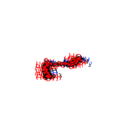 CC1OC(OC2C(CO)OC(OC3C(CO)OC(OCc4cn(CCOCCOCCOCCn5cc(COC6OC(CO)C(OC7OC(CO)C(OC8OC(C)[C@@H](N[C@H]9C=C(CO)[C@@H](O)[C@H](O)[C@@H]9O)C[C@@H]8O)C(O)C7O)C(O)C6O)nn5)nn4)C(O)C3O)C(O)C2O)[C@H](O)C[C@H]1N